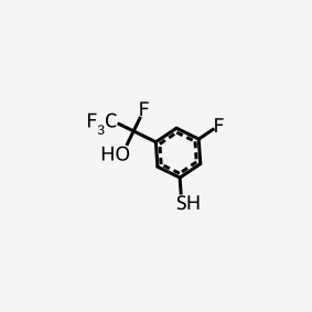 OC(F)(c1cc(F)cc(S)c1)C(F)(F)F